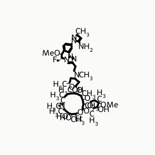 CC[C@H]1OC(=O)[C@H](C)[C@@H](O[C@H]2C[C@@](C)(OC)[C@@H](O)[C@H](C)O2)[C@H](C)[C@@H](O[C@H]2C[C@@H](N(C)CCc3cn([C@H](CF)[C@H](OC)c4ccc(-n5nc(C)cc5N)cc4)nn3)C[C@@H](C)O2)[C@](C)(O)C[C@@H](C)CN(C)[C@H](C)[C@@H](O)[C@]1(C)O